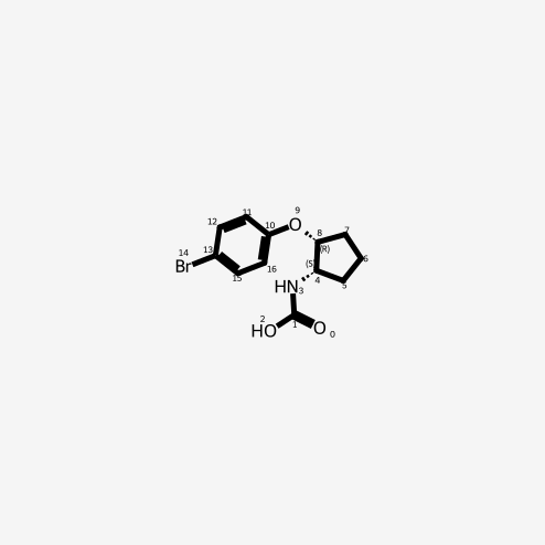 O=C(O)N[C@H]1CCC[C@H]1Oc1ccc(Br)cc1